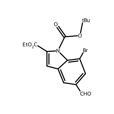 CCOC(=O)c1cc2cc(C=O)cc(Br)c2n1C(=O)OC(C)(C)C